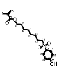 C=C(C)C(=O)OCCCCCCCCS(=O)(=O)c1ccc(O)cc1